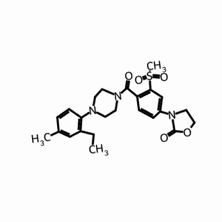 CCc1cc(C)ccc1N1CCN(C(=O)c2ccc(N3CCOC3=O)cc2S(C)(=O)=O)CC1